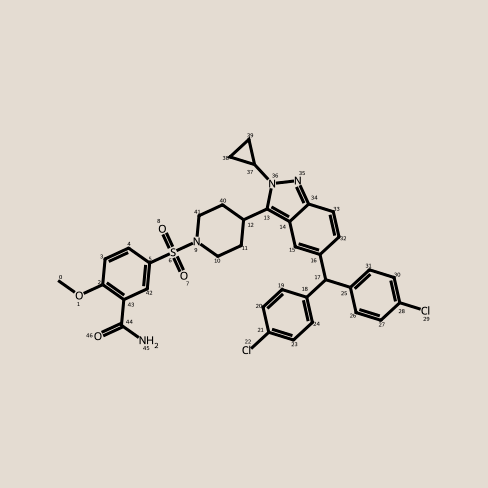 COc1ccc(S(=O)(=O)N2CCC(c3c4cc(C(c5ccc(Cl)cc5)c5ccc(Cl)cc5)ccc4nn3C3CC3)CC2)cc1C(N)=O